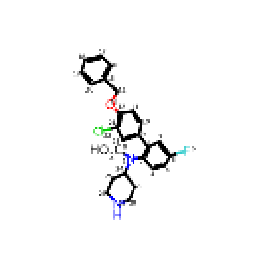 O=C(O)N(c1ccc(F)cc1-c1ccc(OCc2ccccc2)c(Cl)c1)C1CCNCC1